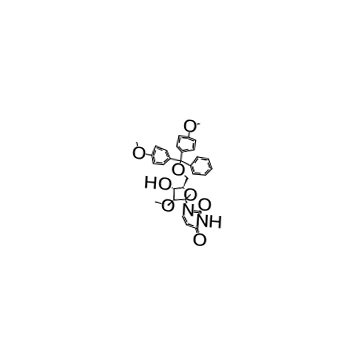 COc1ccc(C(OC[C@H]2O[C@@H](n3ccc(=O)[nH]c3=O)[C@@H](OC)[C@@H]2O)(c2ccccc2)c2ccc(OC)cc2)cc1